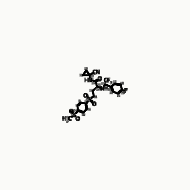 CS(=O)(=O)c1ccc(S(=O)(=O)CC[C@H](N[C@@H](c2ccc(F)cc2)C(F)(F)F)C(=O)NC2(C#N)CC2)cc1